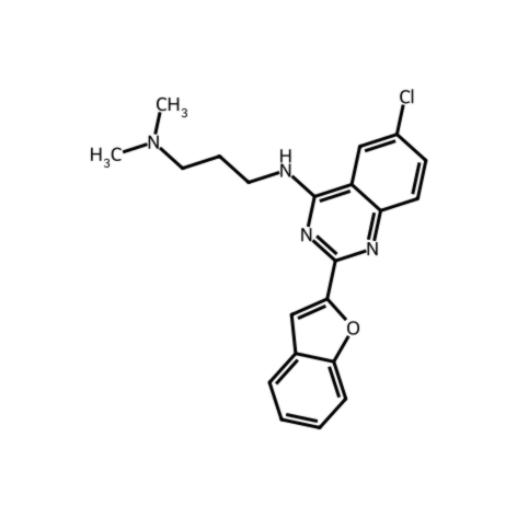 CN(C)CCCNc1nc(-c2cc3ccccc3o2)nc2ccc(Cl)cc12